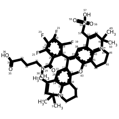 CC1=CC(C)(C)N2CCCc3c4c(cc1c32)C(c1c(F)c(F)c(F)c(F)c1C(=O)N(C)CCCC(=O)O)=c1cc2c3c(c1O4)CCC[N+]=3C(C)(C)C=C2CS(=O)(=O)O